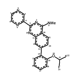 CNc1nc(-c2cnccn2)nc2cc(-c3ccccc3OC(F)F)ccc12